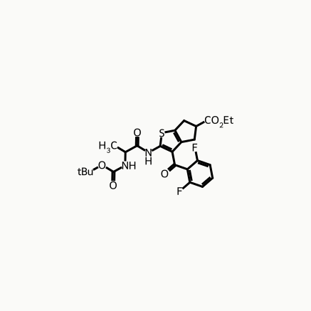 CCOC(=O)C1Cc2sc(NC(=O)C(C)NC(=O)OC(C)(C)C)c(C(=O)c3c(F)cccc3F)c2C1